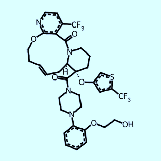 O=C1c2c(C(F)(F)F)ccnc2OCC/C=C/C[C@H]2N1CCC[C@@]2(Oc1csc(C(F)(F)F)c1)C(=O)N1CCN(c2ccccc2OCCO)CC1